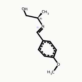 COc1ccc(/C=N/[C@H](C)CO)cc1